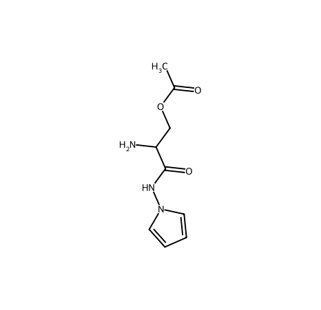 CC(=O)OCC(N)C(=O)Nn1cccc1